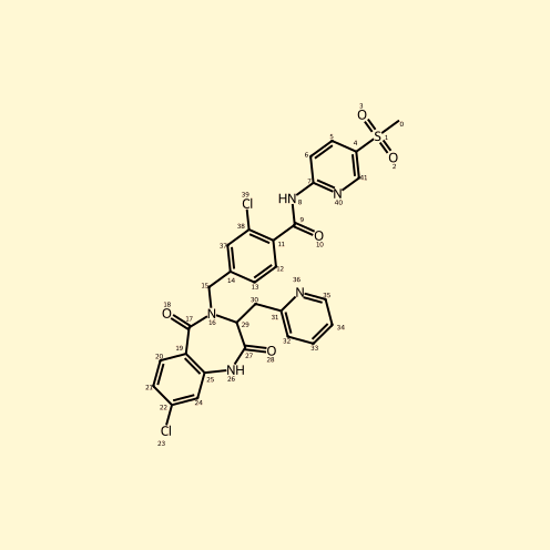 CS(=O)(=O)c1ccc(NC(=O)c2ccc(CN3C(=O)c4ccc(Cl)cc4NC(=O)C3Cc3ccccn3)cc2Cl)nc1